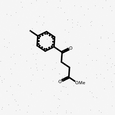 COC(=O)CCC(=O)c1ccc(C)cc1